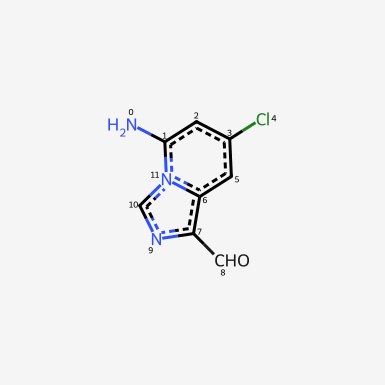 Nc1cc(Cl)cc2c(C=O)ncn12